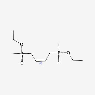 C=P(C)(C/C=C\CP(C)(=O)OCC)OCC